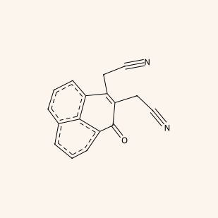 N#CCC1=C(CC#N)c2cccc3cccc(c23)C1=O